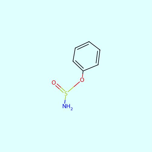 NS(=O)Oc1ccccc1